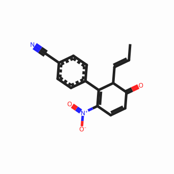 CC=CC1C(=O)C=CC([N+](=O)[O-])=C1c1ccc(C#N)cc1